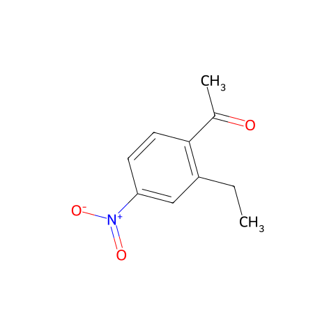 CCc1cc([N+](=O)[O-])ccc1C(C)=O